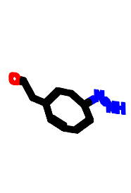 N=NC1CCC=CC(CC=O)CC1